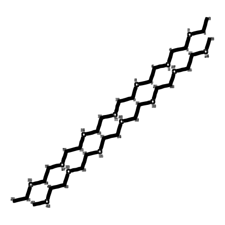 CCOCCOCCOCCOCCOCCOCCOCC.COCCOCCOCCOCCOCCOCCOC